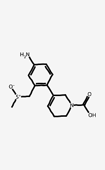 C[S+]([O-])Cc1cc(N)ccc1C1=CCCN(C(=O)O)C1